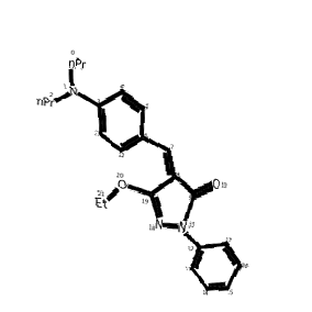 CCCN(CCC)c1ccc(C=C2C(=O)N(c3ccccc3)N=C2OCC)cc1